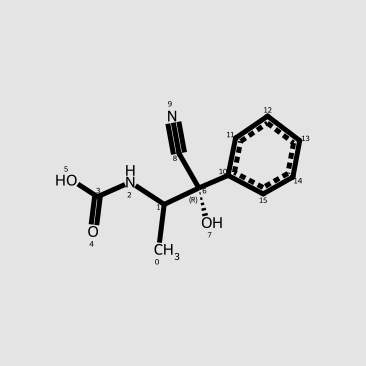 CC(NC(=O)O)[C@@](O)(C#N)c1ccccc1